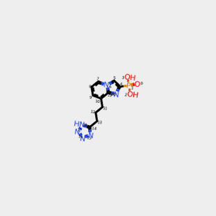 O=P(O)(O)c1cn2cccc(CCCc3nnn[nH]3)c2n1